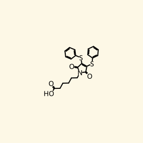 O=C(O)CCCCCN1C(=O)C(Sc2ccccc2)=C(Sc2ccccc2)C1=O